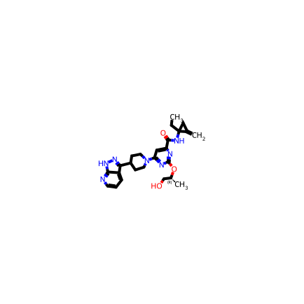 C=C1CC1(CC)NC(=O)c1cc(N2CCC(c3n[nH]c4ncccc34)CC2)nc(O[C@H](C)CO)n1